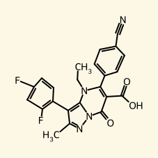 CCn1c(-c2ccc(C#N)cc2)c(C(=O)O)c(=O)n2nc(C)c(-c3ccc(F)cc3F)c12